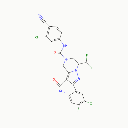 N#Cc1ccc(NC(=O)N2Cc3c(C(N)=O)c(-c4ccc(F)c(Cl)c4)nn3C(C(F)F)C2)cc1Cl